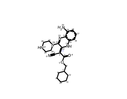 N#C/C(C(=O)OCC1CCCCC1)=C1/Nc2cccc(N)c2N=C1N1CCNCC1